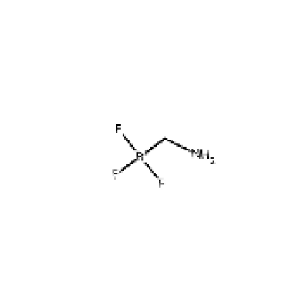 NC[B-](F)(F)F